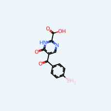 Bc1ccc(C(=O)c2cnc(C(=O)O)[nH]c2=O)cc1